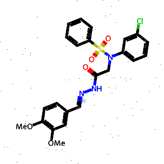 COc1ccc(/C=N/NC(=O)CN(c2cccc(Cl)c2)S(=O)(=O)c2ccccc2)cc1OC